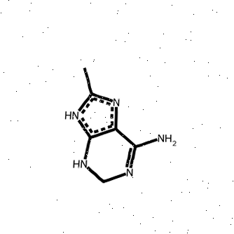 Cc1nc2c([nH]1)NCN=C2N